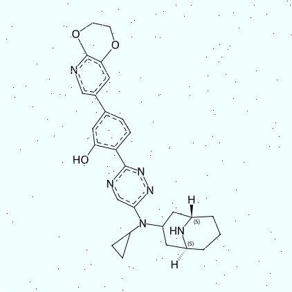 Oc1cc(-c2cnc3c(c2)OCCO3)ccc1-c1ncc(N(C2CC2)C2C[C@@H]3CCC[C@@H](C2)N3)nn1